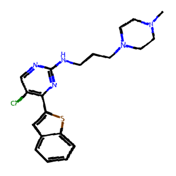 CN1CCN(CCCNc2ncc(Cl)c(-c3cc4ccccc4s3)n2)CC1